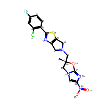 C[C@]1(CN2Cc3nc(-c4ccc(F)cc4Cl)sc3C2)Cn2cc([N+](=O)[O-])nc2O1